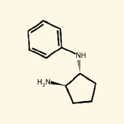 N[C@@H]1CCC[C@H]1Nc1ccccc1